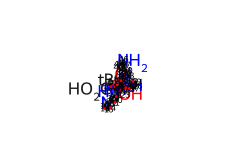 CC(C)(C)[C@H](NC(=O)O)C(=O)N[C@@H](Cc1ccc(-c2ccccn2)cc1)C[C@H](O)[C@H](Cc1ccccc1)NC(=O)[C@@H](N1CCN(Cc2cccc(N)c2)C1=O)C(C)(C)C